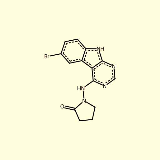 O=C1CCCN1Nc1ncnc2[nH]c3ccc(Br)cc3c12